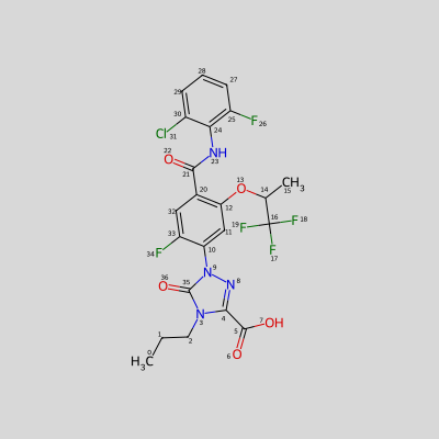 CCCn1c(C(=O)O)nn(-c2cc(OC(C)C(F)(F)F)c(C(=O)Nc3c(F)cccc3Cl)cc2F)c1=O